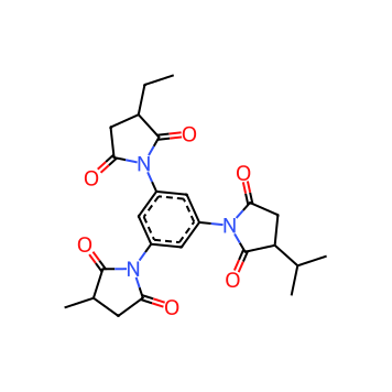 CCC1CC(=O)N(c2cc(N3C(=O)CC(C)C3=O)cc(N3C(=O)CC(C(C)C)C3=O)c2)C1=O